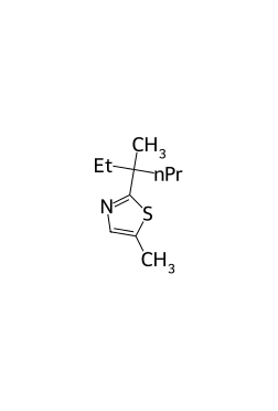 CCCC(C)(CC)c1ncc(C)s1